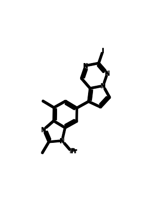 Cc1cc(-c2ccn3nc(I)ncc23)cc2c1nc(C)n2C(C)C